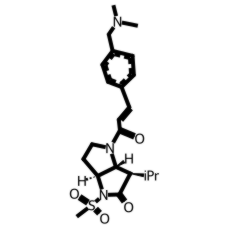 CC(C)[C@H]1C(=O)N(S(C)(=O)=O)[C@H]2CCN(C(=O)/C=C/c3ccc(CN(C)C)cc3)[C@H]12